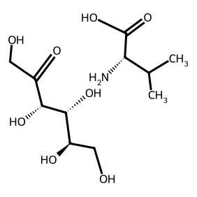 CC(C)[C@H](N)C(=O)O.O=C(CO)[C@@H](O)[C@H](O)[C@H](O)CO